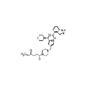 C=CC(=O)CCC(=O)N1CCN(Cc2cc3c(N4CCOCC4)nc(-c4cccc5[nH]ncc45)nn3c2)CC1